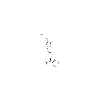 CC(NCCF)c1cn(CC(=O)Nc2sc3c(c2C(N)=O)CCCC3)nc1C(F)(F)F